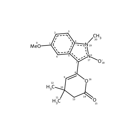 COc1ccc2c(c1)c(C1=CC(C)(C)CC(=O)O1)[n+]([O-])n2C